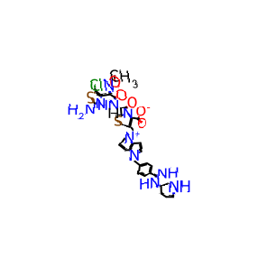 CO/N=C(\C(=O)N[C@@H]1C(=O)N2C(C(=O)[O-])=C(C[n+]3cccc4c3ccn4Cc3ccc(C(=N)NC4CCCNC4)cc3)CS[C@H]12)c1nc(N)sc1Cl